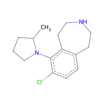 CC1CCCN1c1c(Cl)ccc2c1CCNCC2